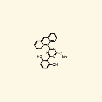 CCCOc1nc(-c2c(O)cccc2O)nc(-c2c3ccccc3cc3ccccc23)n1